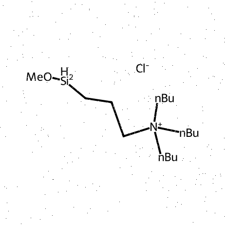 CCCC[N+](CCCC)(CCCC)CCC[SiH2]OC.[Cl-]